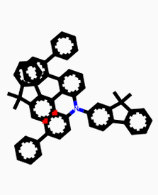 CC1(C)c2ccccc2-c2ccc(N(c3ccc(-c4ccccc4)cc3)c3cccc(-c4ccccc4-c4ccccc4)c3-c3cccc4c3-c3ccccc3C4(C)C)cc21